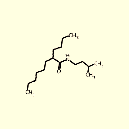 CCCCCCC(CCCC)C(=O)NCCC(C)C